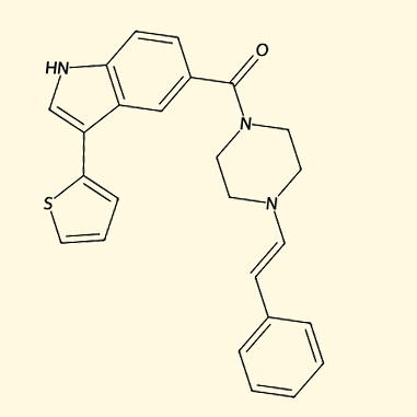 O=C(c1ccc2[nH]cc(-c3cccs3)c2c1)N1CCN(C=Cc2ccccc2)CC1